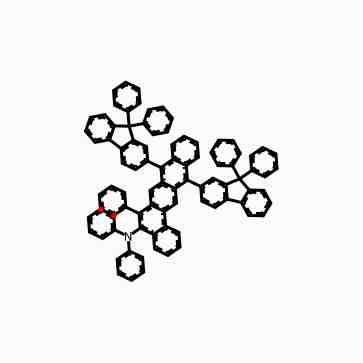 c1ccc(-c2c(N(c3ccccc3)c3ccccc3)c3ccccc3c3cc4c(-c5ccc6c(c5)C(c5ccccc5)(c5ccccc5)c5ccccc5-6)c5ccccc5c(-c5ccc6c(c5)C(c5ccccc5)(c5ccccc5)c5ccccc5-6)c4cc23)cc1